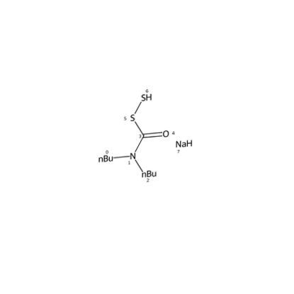 CCCCN(CCCC)C(=O)SS.[NaH]